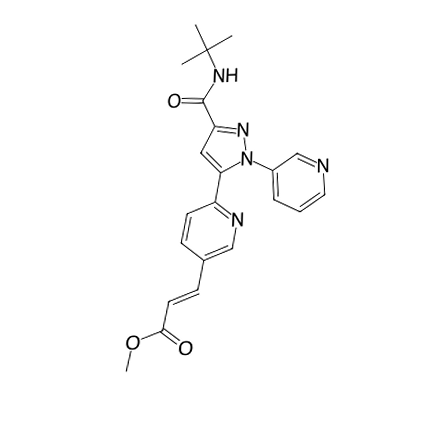 COC(=O)/C=C/c1ccc(-c2cc(C(=O)NC(C)(C)C)nn2-c2cccnc2)nc1